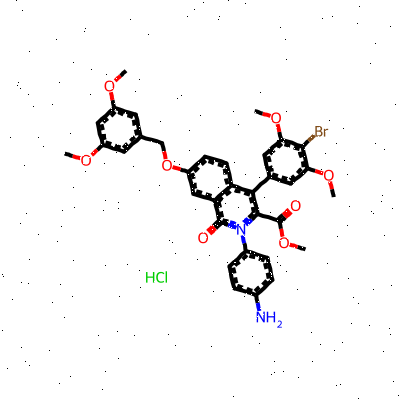 COC(=O)c1c(-c2cc(OC)c(Br)c(OC)c2)c2ccc(OCc3cc(OC)cc(OC)c3)cc2c(=O)n1-c1ccc(N)cc1.Cl